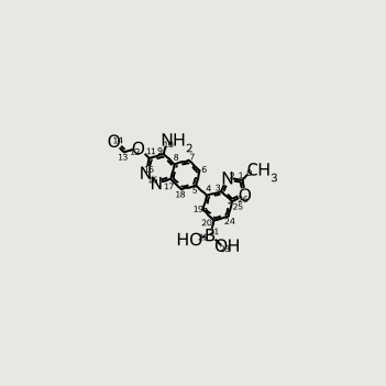 Cc1nc2c(-c3ccc4c(N)c(OC=O)nnc4c3)cc(B(O)O)cc2o1